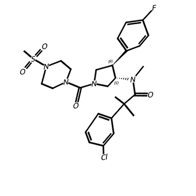 CN(C(=O)C(C)(C)c1cccc(Cl)c1)[C@@H]1CN(C(=O)N2CCN(S(C)(=O)=O)CC2)C[C@H]1c1ccc(F)cc1